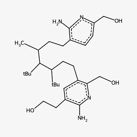 CC(CCc1ccc(CO)nc1N)C(C(CCc1cc(CCO)c(N)nc1CO)C(C)(C)C)C(C)(C)C